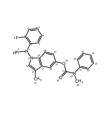 CCCN(c1ccncc1F)n1cc(C)c2cc(OC(=O)N(C)c3ccccc3)ccc21